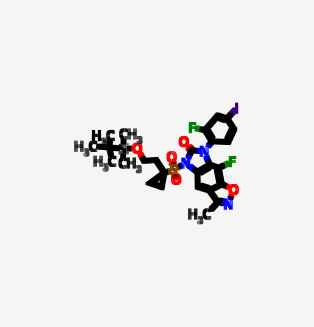 Cc1noc2c(F)c3c(cc12)n(S(=O)(=O)C1(CCO[Si](C)(C)C(C)(C)C)CC1)c(=O)n3-c1ccc(I)cc1F